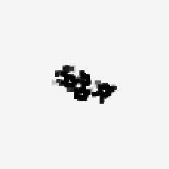 Cc1ccc(-c2c(Br)cccc2OCc2c(F)cc(F)cc2F)n1-c1ccc(O)c(C(=O)O)c1